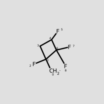 [CH2]C1(F)CC(F)C1(F)F